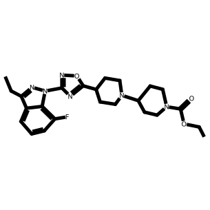 CCOC(=O)N1CCC(N2CCC(c3nc(-n4nc(CC)c5cccc(F)c54)no3)CC2)CC1